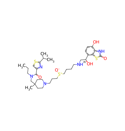 CCCN(CC1(C)CCN(CCC[S+]([O-])CCCCNC[C@H](O)c2ccc(O)c3[nH]c(=O)sc23)CC1)C(=O)c1csc(C(C)C)n1